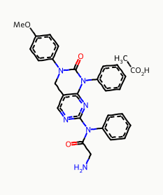 CC(=O)O.COc1ccc(N2Cc3cnc(N(C(=O)CN)c4ccccc4)nc3N(c3ccccc3)C2=O)cc1